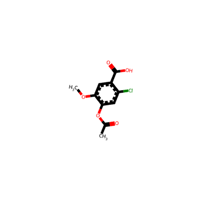 COc1cc(C(=O)O)c(Cl)cc1OC(C)=O